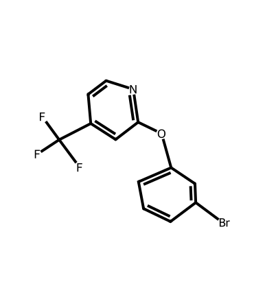 FC(F)(F)c1ccnc(Oc2cccc(Br)c2)c1